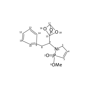 COP1(=O)C=CCN1C(Cc1ccccc1)C12OC(O1)O2